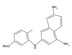 COc1ccc(C)c(Nc2cc(N)c3ccc(N)cc3c2)c1